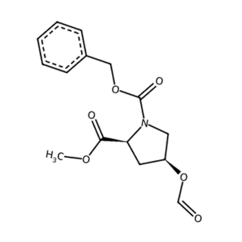 COC(=O)[C@@H]1C[C@H](OC=O)CN1C(=O)OCc1ccccc1